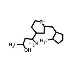 CC(O)CC(N)C1CCPC(CC2CCCC2C)C1